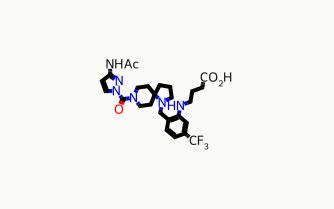 CC(=O)Nc1ccn(C(=O)N2CCC3(CCCN3Cc3ccc(C(F)(F)F)cc3NCCCC(=O)O)CC2)n1